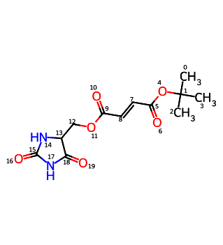 CC(C)(C)OC(=O)/C=C/C(=O)OCC1NC(=O)NC1=O